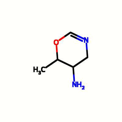 CC1OC=NCC1N